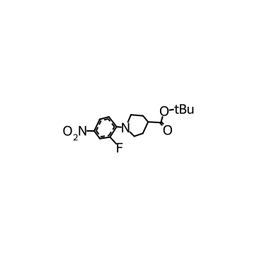 CC(C)(C)OC(=O)C1CCN(c2ccc([N+](=O)[O-])cc2F)CC1